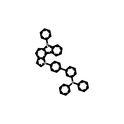 c1ccc(N(c2ccccc2)c2cccc(-c3ccc(-n4ccc5ccc6c(c7ccccc7n6-c6ccccc6)c54)cc3)c2)cc1